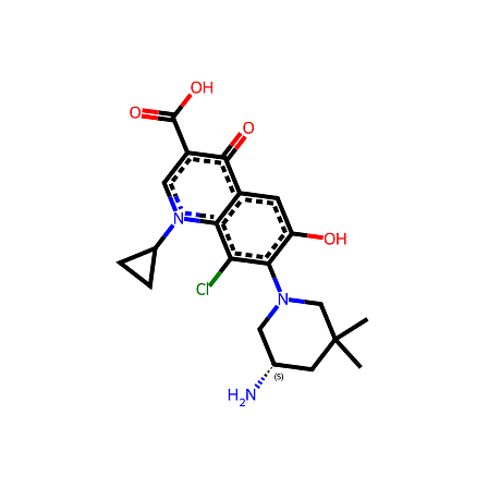 CC1(C)C[C@H](N)CN(c2c(O)cc3c(=O)c(C(=O)O)cn(C4CC4)c3c2Cl)C1